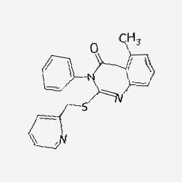 Cc1cccc2nc(SCc3ccccn3)n(-c3ccccc3)c(=O)c12